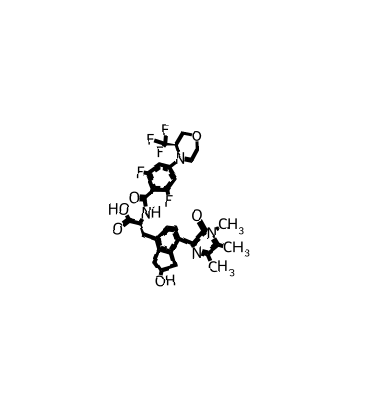 Cc1nc(-c2ccc(C[C@H](NC(=O)c3c(F)cc(N4CCOC[C@@H]4C(F)(F)F)cc3F)C(=O)O)c3c2CC(O)C3)c(=O)n(C)c1C